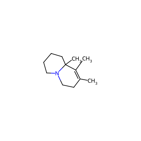 CC1=C(C)C2(C)CCCCN2CC1